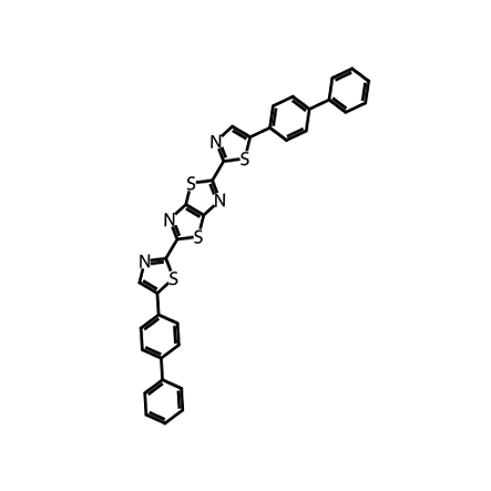 c1ccc(-c2ccc(-c3cnc(-c4nc5sc(-c6ncc(-c7ccc(-c8ccccc8)cc7)s6)nc5s4)s3)cc2)cc1